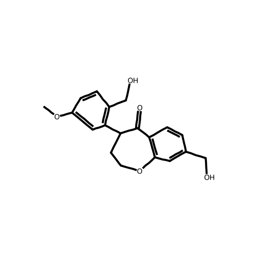 COc1ccc(CO)c(C2CCOc3cc(CO)ccc3C2=O)c1